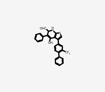 O=CC1Nc2scc(-c3ccc(-c4ccccc4)c(C(F)(F)F)c3)c2C(O)=C1c1ccccc1